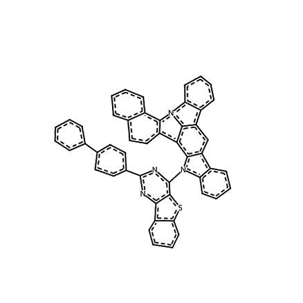 c1ccc(-c2ccc(-c3nc(-n4c5ccccc5c5cc6c7ccccc7n7c8c9ccccc9ccc8c(c54)c67)c4sc5ccccc5c4n3)cc2)cc1